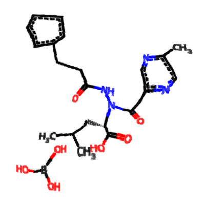 Cc1cnc(C(=O)N(NC(=O)CCc2ccccc2)[C@@H](CC(C)C)C(=O)O)cn1.OB(O)O